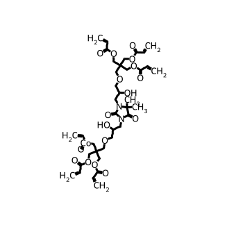 C=CC(=O)OCC(COCC(O)CN1C(=O)N(CC(O)COCC(COC(=O)C=C)(COC(=O)C=C)[CH2][Co](=[O])[CH]=C)C(=O)C1(C)C)(COC(=O)C=C)COC(=O)C=C